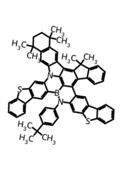 CC(C)(C)c1ccc(N2B3c4cc5c(cc4-n4c6cc7c(cc6c6c8c(c(c3c64)-c3cc4c(cc32)sc2ccccc24)-c2ccccc2C8(C)C)C(C)(C)CCC7(C)C)sc2ccccc25)cc1